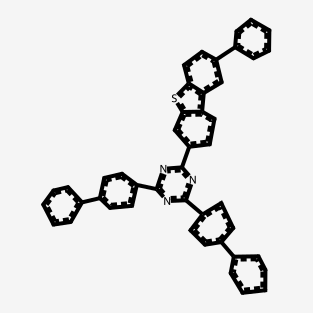 c1ccc(-c2ccc(-c3nc(-c4ccc(-c5ccccc5)cc4)nc(-c4ccc5c(c4)sc4ccc(-c6ccccc6)cc45)n3)cc2)cc1